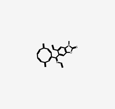 C=C/N=C(/c1ccc(=C)ccccc(=C)c1)c1cc2oc(=S)n(C)c2cc1C=C